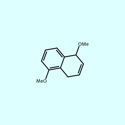 COc1cccc2c1[CH]C=CC2OC